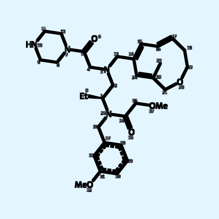 CC[C@@H](CN(CC(=O)N1CCNCC1)CC1=C/C=C/CCOC\C(C)=C\1)N(Cc1cccc(OC)c1)C(=O)COC